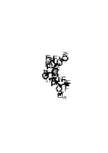 COCOC(C(F)(F)F)C(F)(F)C1COCC(C(F)(F)C(OCOC)C(F)(F)F)O1